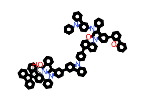 CC1(O)c2ccccc2-c2c(n(-c3ccccc3)c3ccc(-c4ccc5c(c4)c4ccccc4n5-c4ccc(-c5cccc6c(-n7c(=O)c8c(c9cc(-c%10cccc%11c%10oc%10ccccc%10%11)ccc97)c7ccccc7n8-c7ccc8c(c7)c7ccccc7n8-c7ccccc7)cccc56)cc4)cc23)N1c1cccc2c1-c1ccccc1C21c2ccccc2-c2ccccc21